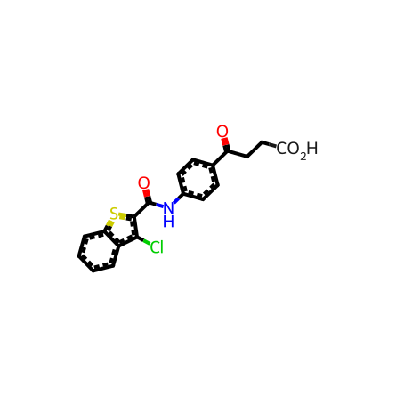 O=C(O)CCC(=O)c1ccc(NC(=O)c2sc3ccccc3c2Cl)cc1